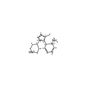 Cc1ncn(C2CCNCC2)c1C1C=CN=CN1N